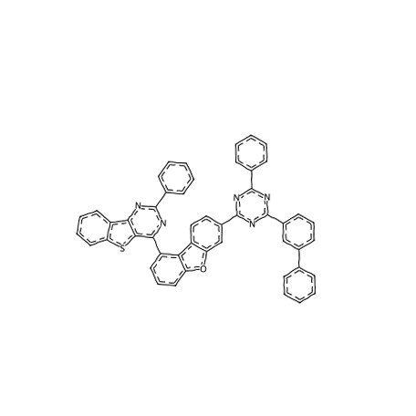 c1ccc(-c2cccc(-c3nc(-c4ccccc4)nc(-c4ccc5c(c4)oc4cccc(-c6nc(-c7ccccc7)nc7c6sc6ccccc67)c45)n3)c2)cc1